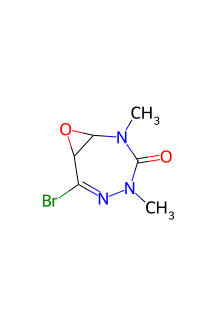 CN1N=C(Br)C2OC2N(C)C1=O